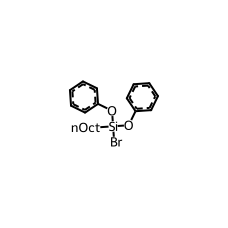 CCCCCCCC[Si](Br)(Oc1ccccc1)Oc1ccccc1